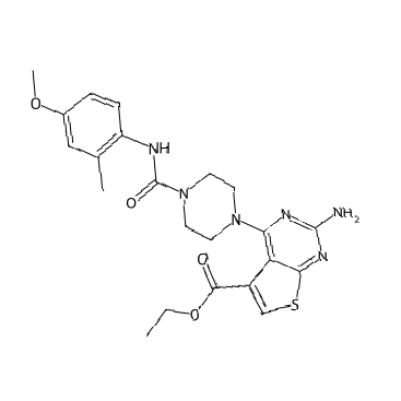 CCOC(=O)c1csc2nc(N)nc(N3CCN(C(=O)Nc4ccc(OC)cc4C)CC3)c12